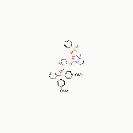 COc1ccc(C(OC[C@H]2OCC[C@@H]2OP2O[C@H](CS(=O)(=O)c3ccccc3)[C@@H]3CCCN32)(c2ccccc2)c2ccc(OC)cc2)cc1